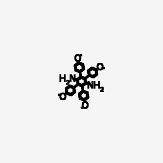 COc1ccc(-c2c(N)c(-c3ccc(OC)cc3)c(-c3ccc(OC)cc3)c(N)c2-c2ccc(OC)cc2)cc1